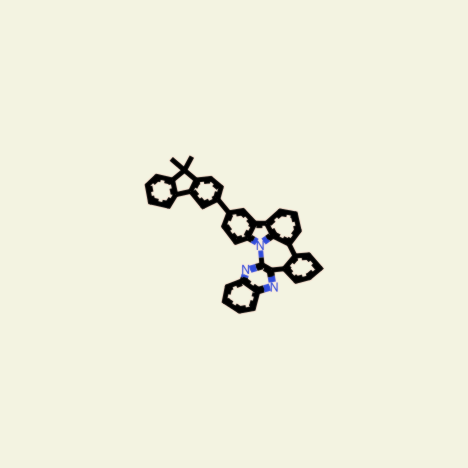 CC1(C)c2ccccc2-c2cc(-c3ccc4c(c3)c3cccc5c3n4-c3nc4ccccc4nc3-c3ccccc3-5)ccc21